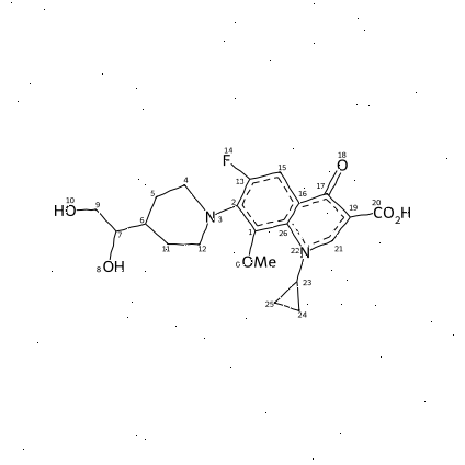 COc1c(N2CCC(C(O)CO)CC2)c(F)cc2c(=O)c(C(=O)O)cn(C3CC3)c12